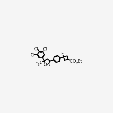 CCOC(=O)C1CC(F)(c2ccc(C3=NOC(c4cc(Cl)c(Cl)c(Cl)c4)(C(F)(F)F)C3)cc2)C1